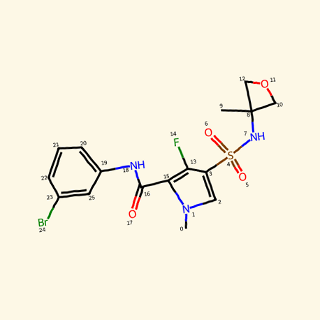 Cn1cc(S(=O)(=O)NC2(C)COC2)c(F)c1C(=O)Nc1cccc(Br)c1